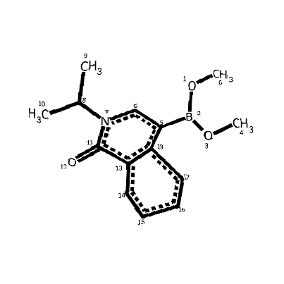 COB(OC)c1cn(C(C)C)c(=O)c2ccccc12